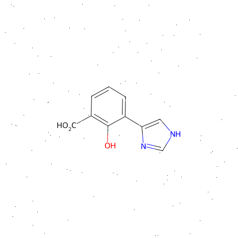 O=C(O)c1cccc(-c2c[nH]cn2)c1O